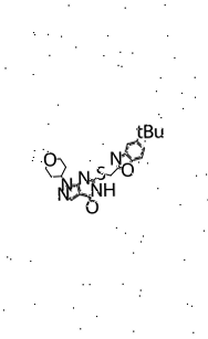 CC(C)(C)c1ccc2oc(CSc3nc4c(cnn4C4CCOCC4)c(=O)[nH]3)nc2c1